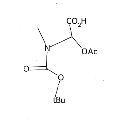 CC(=O)OC(C(=O)O)N(C)C(=O)OC(C)(C)C